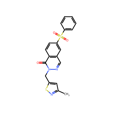 Cc1cc(Cn2ncc3cc(S(=O)(=O)c4ccccc4)ccc3c2=O)sn1